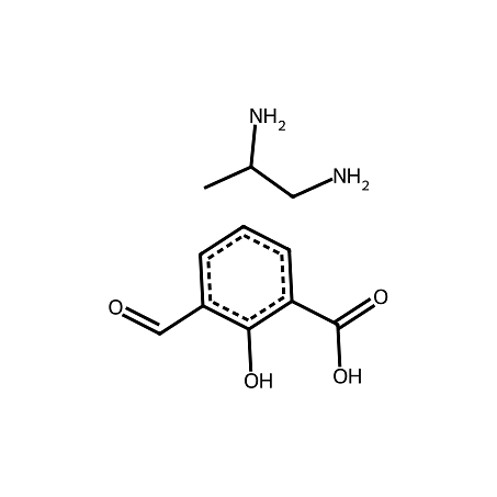 CC(N)CN.O=Cc1cccc(C(=O)O)c1O